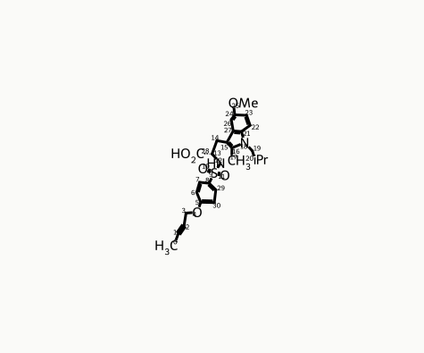 CC#CCOc1ccc(S(=O)(=O)N[C@@H](Cc2c(C)n(CC(C)C)c3ccc(OC)cc23)C(=O)O)cc1